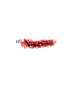 O=C(O)C(O)(O)C(O)(O)C(O)(O)C(O)C(O)(O)C(O)(O)C(O)=C(O)C(O)(O)C(O)=C(O)C(O)(O)C(O)=C(O)C(O)(O)C(O)(O)C(O)(O)C(O)(O)C(O)(O)O